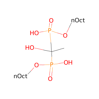 CCCCCCCCOP(=O)(O)C(C)(O)P(=O)(O)OCCCCCCCC